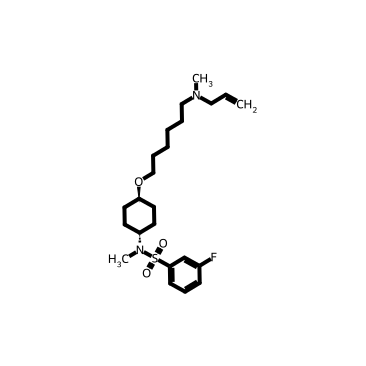 C=CCN(C)CCCCCCO[C@H]1CC[C@H](N(C)S(=O)(=O)c2cccc(F)c2)CC1